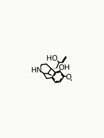 C=CC(O)C[C@]12CCNC(Cc3ccc(OC)c(O)c31)C2C